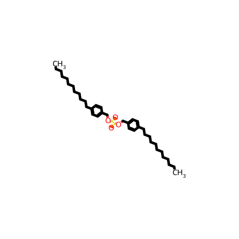 CCCCCCCCCCCCc1ccc(COS(=O)(=O)OCc2ccc(CCCCCCCCCCCC)cc2)cc1